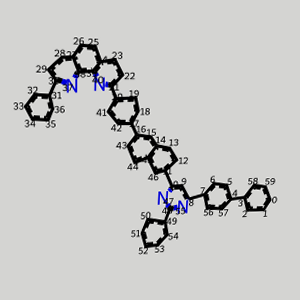 c1ccc(-c2ccc(-c3cc(-c4ccc5cc(-c6ccc(-c7ccc8ccc9ccc(-c%10ccccc%10)nc9c8n7)cc6)ccc5c4)nc(-c4ccccc4)n3)cc2)cc1